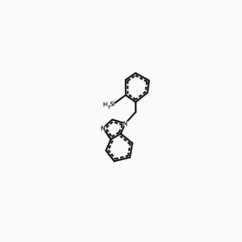 [SiH3]c1ccccc1Cn1cnc2ccccc21